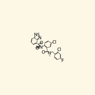 CN(Cc1ccc(F)cc1Cl)C(=O)c1cc(Cl)ccc1NS(=O)(=O)c1cccc2nsnc12